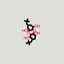 CC(C)(C)CC1CC(O)C2OC3(O)CCC(CC(C)(C)C)C(O)C3OC2(O)C1